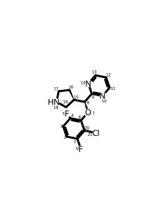 Fc1ccc(F)c(O[C@H](c2ncccn2)[C@@H]2CCNC2)c1Cl